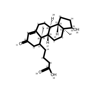 C[C@]12CC[C@H]3[C@@H](CCC4=CC(=O)CC(CCCC(=O)O)[C@@]43C)[C@@H]1CC[C@@H]2O